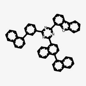 c1cc(-c2nc(-c3ccc(-c4cccc5ccccc45)c4ccccc34)nc(-c3cccc4c3oc3ccccc34)n2)cc(-c2cccc3ccccc23)c1